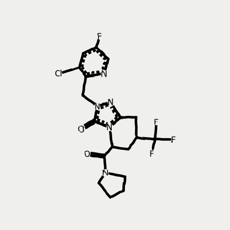 O=C(C1CC(C(F)(F)F)Cc2nn(Cc3ncc(F)cc3Cl)c(=O)n21)N1CCCC1